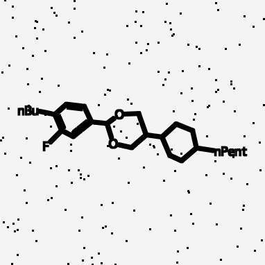 CCCCCC1CCC(C2COC(c3ccc(CCCC)c(F)c3)OC2)CC1